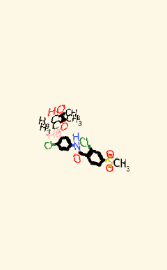 CC(C)(O)C(C)(C)OBc1cc(NC(=O)c2ccc(S(C)(=O)=O)cc2Cl)ccc1Cl